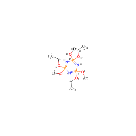 CCOP1(OCC(F)(F)F)=NP(OCC)(OCC(F)(F)F)=NP(OCC)(OCC(F)(F)F)=N1